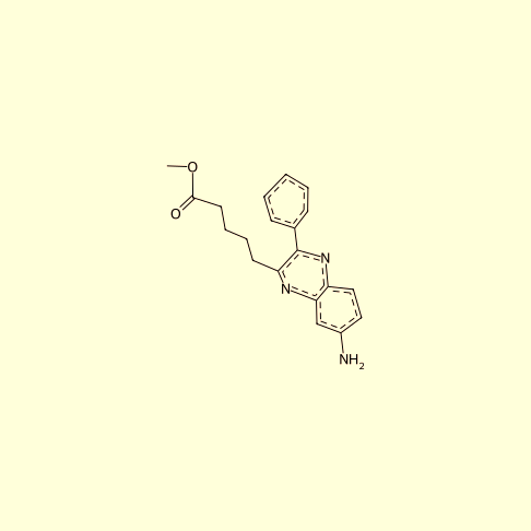 COC(=O)CCCCc1nc2cc(N)ccc2nc1-c1ccccc1